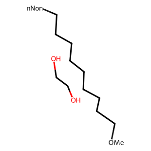 CCCCCCCCCCCCCCCCCCOC.OCCO